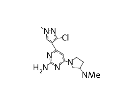 CNC1CCN(c2cc(-c3cn(C)nc3Cl)nc(N)n2)C1